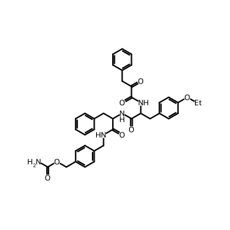 CCOc1ccc(CC(NC(=O)C(=O)Cc2ccccc2)C(=O)NC(Cc2ccccc2)C(=O)NCc2ccc(COC(N)=O)cc2)cc1